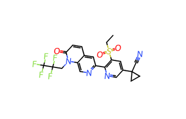 CCS(=O)(=O)c1cc(C2(C#N)CC2)cnc1-c1cc2ccc(=O)n(CC(F)(F)C(F)(F)F)c2cn1